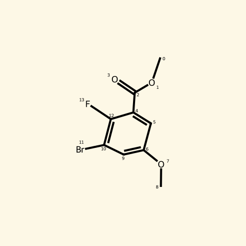 COC(=O)c1cc(OC)cc(Br)c1F